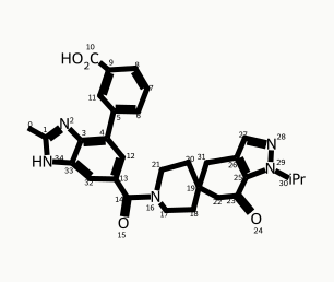 Cc1nc2c(-c3cccc(C(=O)O)c3)cc(C(=O)N3CCC4(CC3)CC(=O)c3c(cnn3C(C)C)C4)cc2[nH]1